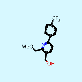 COCc1nc(-c2ccc(C(F)(F)F)cc2)ccc1CO